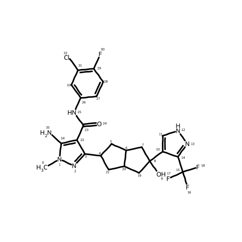 Cn1nc(C2CC3CC(O)(c4c[nH]nc4C(F)(F)F)CC3C2)c(C(=O)Nc2ccc(F)c(Cl)c2)c1N